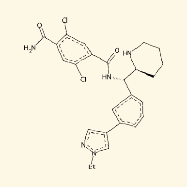 CCn1cc(-c2cccc([C@H](NC(=O)c3cc(Cl)c(C(N)=O)cc3Cl)[C@@H]3CCCCN3)c2)cn1